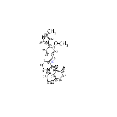 COc1cc(/C=C2\CCCN([C@H]3CCOc4ccc(F)cc43)C2=O)ccc1-n1cnc(C)c1